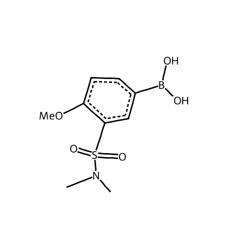 COc1ccc(B(O)O)cc1S(=O)(=O)N(C)C